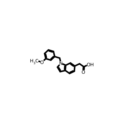 COc1cccc(Cn2ccc3ccc(CC(=O)O)cc32)c1